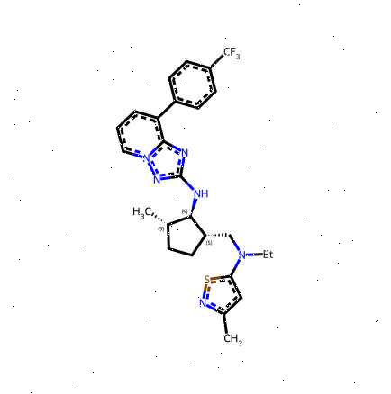 CCN(C[C@@H]1CC[C@H](C)[C@H]1Nc1nc2c(-c3ccc(C(F)(F)F)cc3)cccn2n1)c1cc(C)ns1